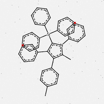 Cc1ccc(-c2c(-c3ccccc3)c([Si](c3ccccc3)(c3ccccc3)c3ccccc3)n(-c3ccccc3)c2C)cc1